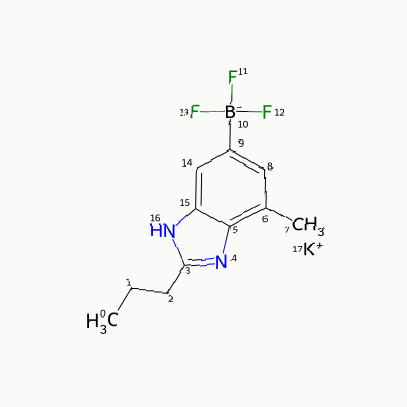 CCCc1nc2c(C)cc([B-](F)(F)F)cc2[nH]1.[K+]